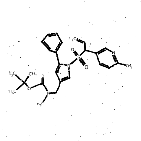 C=CC(c1ccc(C)nc1)S(=O)(=O)n1cc(CN(C)C(=O)OC(C)(C)C)cc1-c1ccccc1